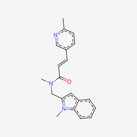 Cc1ccc(C=CC(=O)N(C)Cc2cc3ccccc3n2C)cn1